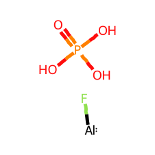 O=P(O)(O)O.[F][Al]